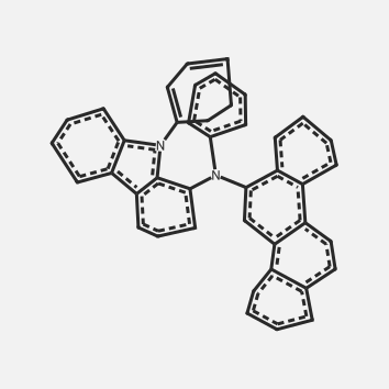 C1=CCCC(n2c3ccccc3c3cccc(N(c4ccccc4)c4cc5c6ccccc6ccc5c5ccccc45)c32)=C1